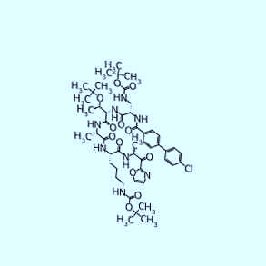 C[C@H](NC(=O)[C@@H](NC(=O)[C@H](CNC(=O)OC(C)(C)C)NC(=O)c1ccc(-c2ccc(Cl)cc2)cc1)[C@@H](C)OC(C)(C)C)C(=O)N[C@@H](CCCCNC(=O)OC(C)(C)C)C(=O)N[C@@H](C)C(=O)c1ncco1